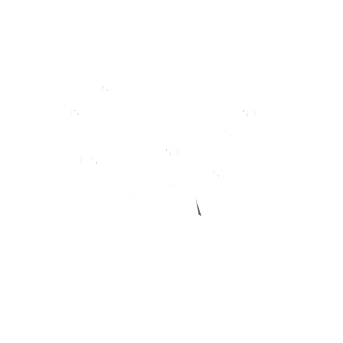 CC(C)(N)C(=O)N[C@@H](Cc1ccccc1)C(=O)N[C@@H](Cc1c[nH]cn1)C(N)=O